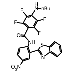 CCCCNc1c(F)c(F)c(C(=O)Nc2ccc([N+](=O)[O-])cc2-c2nc3ccccc3s2)c(F)c1F